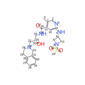 Cc1cnc(NC2CN(S(C)(=O)=O)C2)cc1C(=O)NC[C@H](O)CN1CCc2ccccc2C1